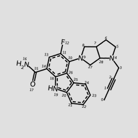 CC#CCN1CCC2CN(c3c(F)cc(C(N)=O)c4[nH]c5ccccc5c34)CC21